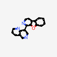 c1cnc2c(-c3nccc4c3oc3ccccc34)cncc2c1